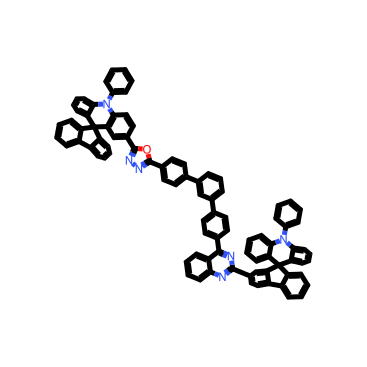 c1ccc(N2c3ccccc3C3(c4ccccc4-c4ccc(-c5nc(-c6ccc(-c7cccc(-c8ccc(-c9nnc(-c%10ccc%11c(c%10)C%10(c%12ccccc%12-c%12ccccc%12%10)c%10ccccc%10N%11c%10ccccc%10)o9)cc8)c7)cc6)c6ccccc6n5)cc43)c3ccccc32)cc1